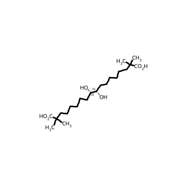 CC(C)(CCCCCC[C@H](O)[C@@H](O)CCCCCCC(C)(C)C(=O)O)C(=O)O